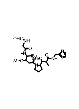 CCC(C)C(C(CC(=O)N1CCCC1C(OC)C(C)C(=O)NCc1nccs1)OC)N(C)C(=O)CNC=O